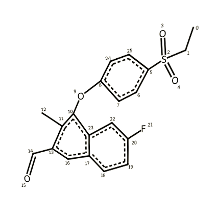 CCS(=O)(=O)c1ccc(Oc2c(C)c(C=O)cc3ccc(F)cc23)cc1